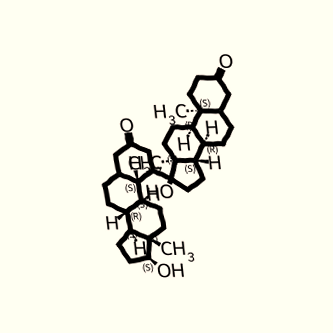 C[C@]12C(CC[C@@H]3[C@@H]1CC[C@]1(C)[C@@H](O)CC[C@@H]31)CC(=O)CC2C1(O)CC[C@H]2[C@@H]3CCC4CC(=O)CC[C@]4(C)[C@@H]3CC[C@@]21C